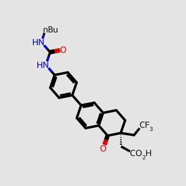 CCCCNC(=O)Nc1ccc(-c2ccc3c(c2)CC[C@@](CC(=O)O)(CC(F)(F)F)C3=O)cc1